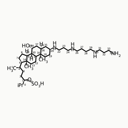 CC(C)[C@@H](CC[C@@H](C)[C@H]1CC[C@H]2[C@H]3C(CC[C@]12C)[C@@]1(C)CC[C@H](NCCCNCCCCNCCCN)C[C@@H]1C[C@H]3O)OS(=O)(=O)O